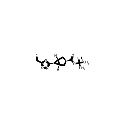 CC(C)(C)OC(=O)N1C[C@@H]2[C@H](C1)[C@H]2c1noc(CCl)n1